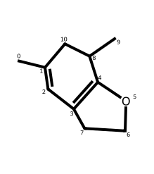 CC1=CC2=C(OCC2)C(C)C1